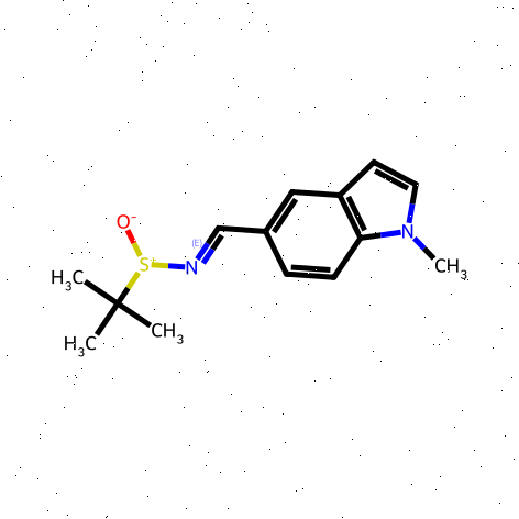 Cn1ccc2cc(/C=N/[S+]([O-])C(C)(C)C)ccc21